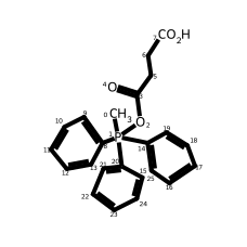 CP(OC(=O)CCC(=O)O)(c1ccccc1)(c1ccccc1)c1ccccc1